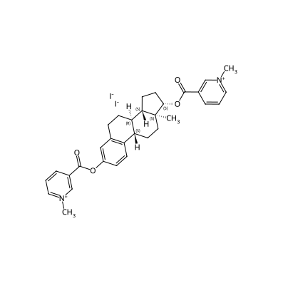 C[n+]1cccc(C(=O)Oc2ccc3c(c2)CC[C@@H]2[C@@H]3CC[C@]3(C)[C@@H](OC(=O)c4ccc[n+](C)c4)CC[C@@H]23)c1.[I-].[I-]